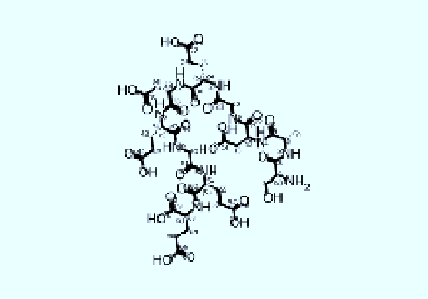 C[C@H](NC(=O)[C@@H](N)CO)C(=O)N[C@@H](CC(=O)O)C(=O)NCC(=O)N[C@@H](CCC(=O)O)C(=O)N[C@@H](CC(=O)O)C(=O)N[C@@H](CCC(=O)O)C(=O)NCC(=O)N[C@@H](CCC(=O)O)C(=O)N[C@@H](CCC(=O)O)C(=O)O